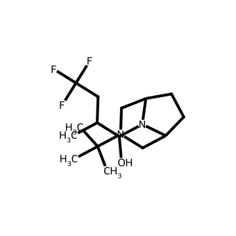 CC(CC(F)(F)F)C(O)N1C2CCC1CN(C(C)(C)C)C2